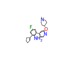 CN1CCC(Oc2cc(-c3cc(F)cc(C4=CCCC4)c3N)ccn2)CC1